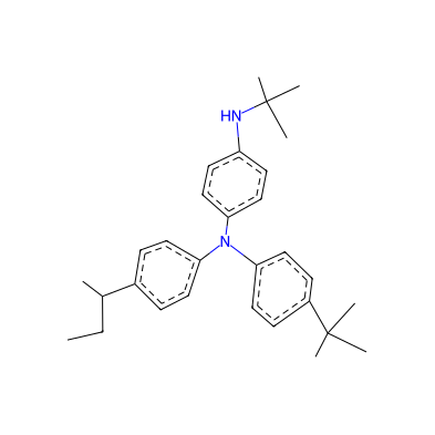 CCC(C)c1ccc(N(c2ccc(NC(C)(C)C)cc2)c2ccc(C(C)(C)C)cc2)cc1